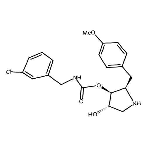 COc1ccc(C[C@H]2NC[C@H](O)[C@H]2OC(=O)NCc2cccc(Cl)c2)cc1